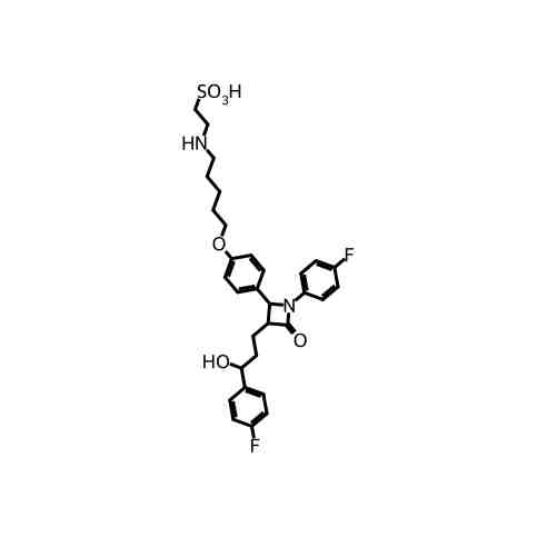 O=C1C(CCC(O)c2ccc(F)cc2)C(c2ccc(OCCCCCNCCS(=O)(=O)O)cc2)N1c1ccc(F)cc1